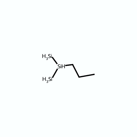 CCC[SiH]([SiH3])[SiH3]